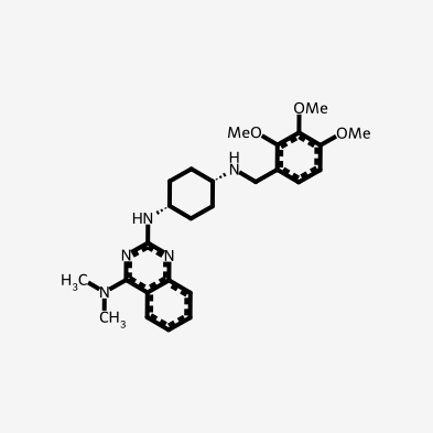 COc1ccc(CN[C@H]2CC[C@@H](Nc3nc(N(C)C)c4ccccc4n3)CC2)c(OC)c1OC